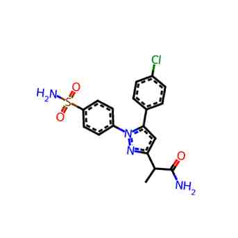 CC(C(N)=O)c1cc(-c2ccc(Cl)cc2)n(-c2ccc(S(N)(=O)=O)cc2)n1